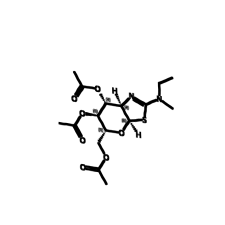 CCN(C)C1=N[C@@H]2[C@@H](OC(C)=O)[C@H](OC(C)=O)[C@@H](COC(C)=O)O[C@@H]2S1